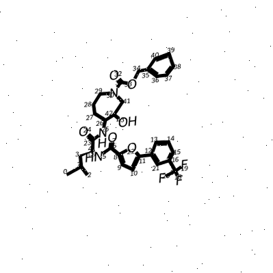 CC(C)C[C@H](NC(=O)c1ccc(-c2cccc(C(F)(F)F)c2)o1)C(=O)NC1CCCN(C(=O)OCc2ccccc2)CC1O